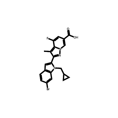 Cc1c(-c2cc3ccc(Br)cc3n2CC2CC2)nn2cc(C(=O)O)cc(F)c12